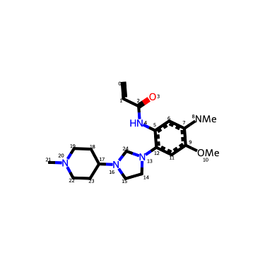 C=CC(=O)Nc1cc(NC)c(OC)cc1N1CCN(C2CCN(C)CC2)C1